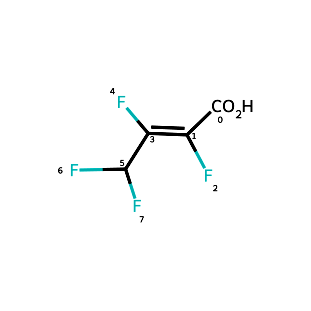 O=C(O)C(F)=C(F)C(F)F